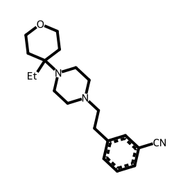 CCC1(N2CCN(CCc3cccc(C#N)c3)CC2)CCOCC1